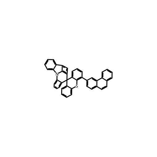 c1ccc2c(c1)Sc1c(-c3ccc4ccc5ccccc5c4c3)cccc1C21c2ccccc2-n2c3ccccc3c3cccc1c32